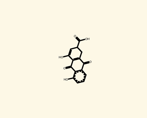 O=C1C2=C(C(=O)c3c(O)cccc31)C(O)=CC(C(=O)O)C2